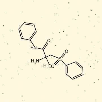 CC(N)(CS(=O)(=O)c1ccccc1)C(=O)Nc1ccccc1